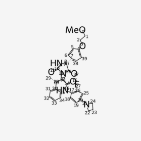 COCCOc1ccc([C@H]2NC(=O)N([C@H](C(=O)Nc3ccc(N4CCC4)cc3F)[C@@H](C)c3ccccc3)C2=O)cc1